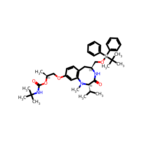 CC(C)[C@H]1C(=O)N[C@H](CO[Si](c2ccccc2)(c2ccccc2)C(C)(C)C)Cc2ccc(OC[C@H](C)OC(=O)NC(C)(C)C)cc2N1C